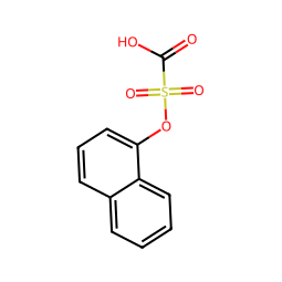 O=C(O)S(=O)(=O)Oc1cccc2ccccc12